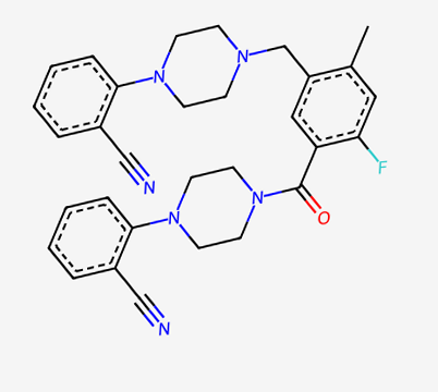 Cc1cc(F)c(C(=O)N2CCN(c3ccccc3C#N)CC2)cc1CN1CCN(c2ccccc2C#N)CC1